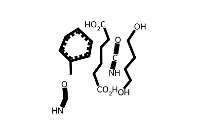 Cc1ccccc1.N=C=O.N=C=O.O=C(O)CCCCC(=O)O.OCCCCO